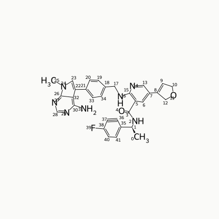 C[C@H](NC(=O)c1cc(C2=CCOC2)cnc1NCc1ccc(-c2cn(C)c3ncnc(N)c23)cc1)c1c#cc(F)cc1